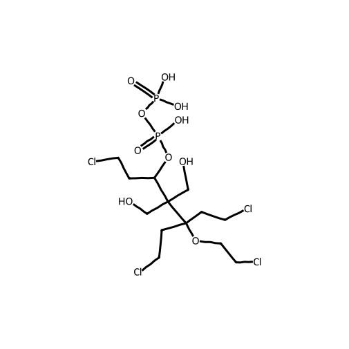 O=P(O)(O)OP(=O)(O)OC(CCCl)C(CO)(CO)C(CCCl)(CCCl)OCCCl